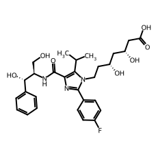 CC(C)c1c(C(=O)N[C@H](CO)[C@@H](O)c2ccccc2)nc(-c2ccc(F)cc2)n1CC[C@@H](O)C[C@@H](O)CC(=O)O